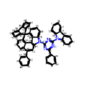 c1ccc(-c2nc(-n3c4ccccc4c4ccccc43)nc(-n3c4cccc5c4c4c6c(cccc6c(-c6ccccc6)cc43)C53c4ccccc4-c4ccccc43)n2)cc1